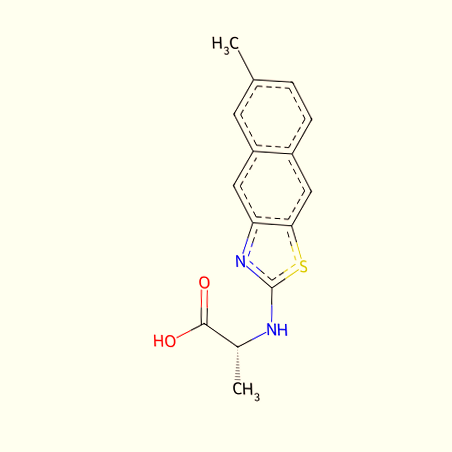 Cc1ccc2cc3sc(N[C@H](C)C(=O)O)nc3cc2c1